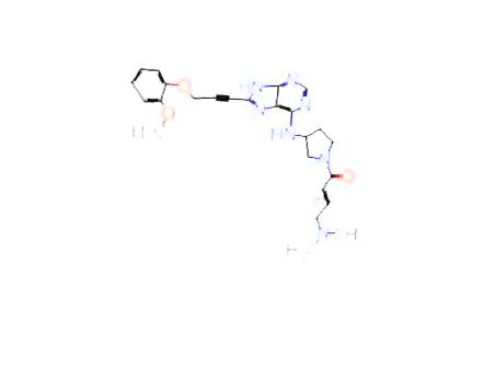 COc1ccccc1OCC#Cc1nc2c(NC3CCN(C(=O)/C=C/CN(C)C)C3)ncnc2[nH]1